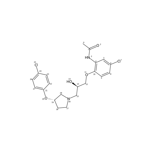 CC(=O)Nc1cc(Cl)ccc1OC[C@H](O)CN1CC[C@H](Oc2ccc(Cl)cc2)C1